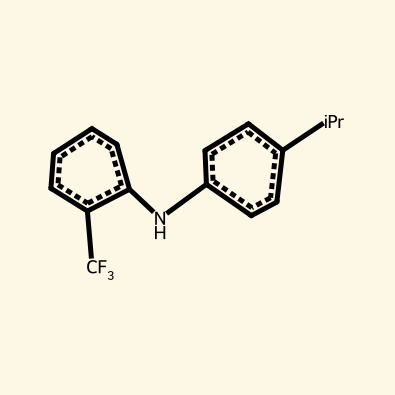 CC(C)c1ccc(Nc2ccccc2C(F)(F)F)cc1